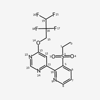 CCS(=O)(=O)c1cccnc1-c1cc(OCC(F)(F)C(F)F)ncn1